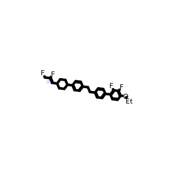 CCOc1ccc(-c2ccc(CCc3ccc(C4CCC(/C=C(\F)CF)CC4)cc3)cc2)c(F)c1F